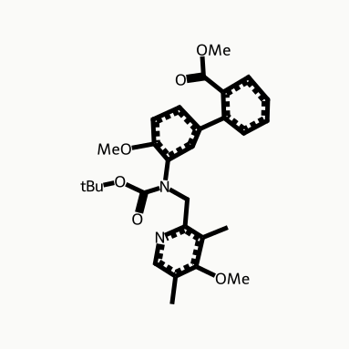 COC(=O)c1ccccc1-c1ccc(OC)c(N(Cc2ncc(C)c(OC)c2C)C(=O)OC(C)(C)C)c1